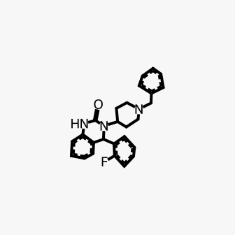 O=C1Nc2ccccc2C(c2ccccc2F)N1C1CCN(Cc2ccccc2)CC1